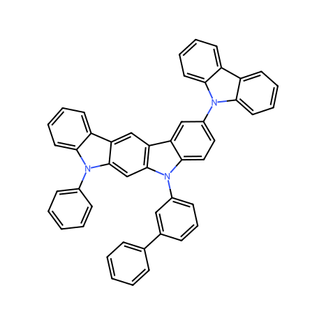 c1ccc(-c2cccc(-n3c4ccc(-n5c6ccccc6c6ccccc65)cc4c4cc5c6ccccc6n(-c6ccccc6)c5cc43)c2)cc1